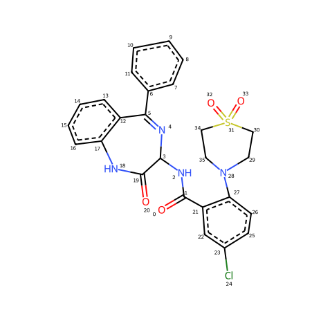 O=C(NC1N=C(c2ccccc2)c2ccccc2NC1=O)c1cc(Cl)ccc1N1CCS(=O)(=O)CC1